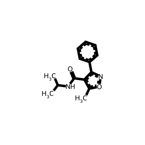 Cc1onc(-c2ccccc2)c1C(=O)NC(C)C